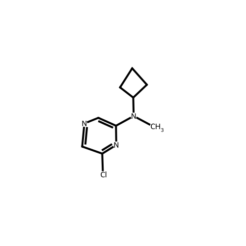 CN(c1cncc(Cl)n1)C1CCC1